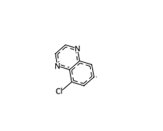 Clc1c[c]cc2nccnc12